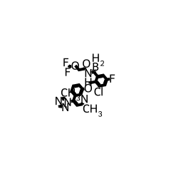 B[C@@H](NC(=O)COC(F)F)c1cc(F)cc(Cl)c1COc1cccc2c(-n3ncnc3C)cc(C)nc12